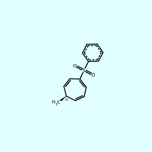 C[C@@H]1C=CC=C(S(=O)(=O)c2ccccc2)C=C1